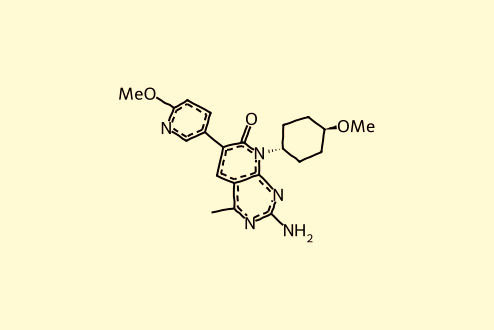 COc1ccc(-c2cc3c(C)nc(N)nc3n([C@H]3CC[C@H](OC)CC3)c2=O)cn1